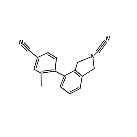 Cc1cc(C#N)ccc1-c1cccc2c1CN(C#N)C2